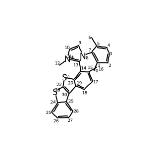 Cc1cccc(C)c1-n1cc[n+](C)c1-c1c(C)ccc2c1sc1sc3ccccc3c12